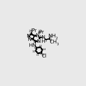 CC(N)CNc1nc(Nc2ccc(Cl)cc2)c2nnc(C(C)C)c-2n1C(C)C